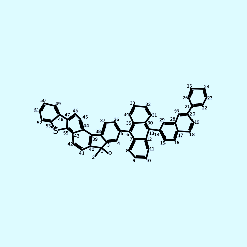 CC1(C)c2cc(-c3c4ccccc4c(-c4ccc5ccc(-c6ccccc6)cc5c4)c4ccccc34)ccc2-c2c1ccc1c2ccc2c3ccccc3sc12